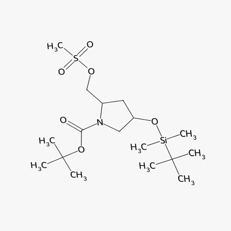 CC(C)(C)OC(=O)N1CC(O[Si](C)(C)C(C)(C)C)CC1COS(C)(=O)=O